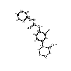 Cc1cc(N2CCOCC2=O)ccc1OC(=O)Nc1ccccc1